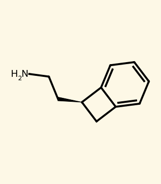 NCC[C@@H]1Cc2ccccc21